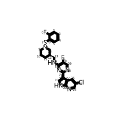 Fc1ccccc1SN1CCC[C@H](CNc2nc(-c3c[nH]c4ncc(Cl)cc34)ncc2F)C1